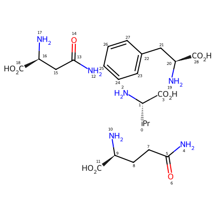 CC(C)[C@H](N)C(=O)O.NC(=O)CC[C@H](N)C(=O)O.NC(=O)C[C@H](N)C(=O)O.N[C@@H](Cc1ccccc1)C(=O)O